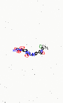 CC1(C)C(=O)N(c2ccc(C#N)c(Cl)c2)c2ccc(-c3ccc(N4CC(CN5CCN(c6ccc7c(c6)C(=O)N(C6CCC(=O)NC6=O)C7=O)CC5=O)C4)cc3)cc21